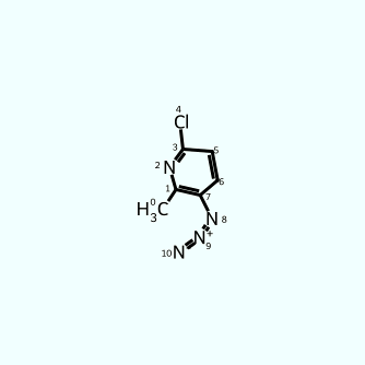 Cc1nc(Cl)ccc1N=[N+]=[N-]